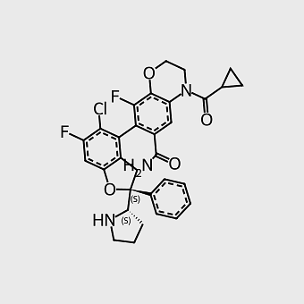 NC(=O)c1cc2c(c(F)c1-c1c(Cl)c(F)cc3c1C[C@](c1ccccc1)([C@@H]1CCCN1)O3)OCCN2C(=O)C1CC1